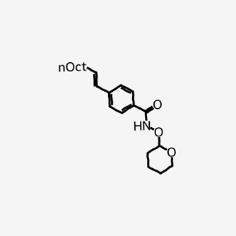 CCCCCCCCC=Cc1ccc(C(=O)NOC2CCCCO2)cc1